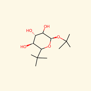 CC(C)(C)O[C@H]1OC(C(C)(C)C)[C@@H](O)[C@H](O)C1O